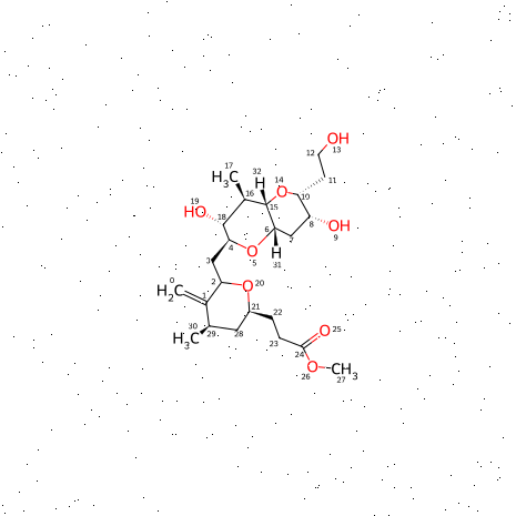 C=C1C(C[C@@H]2O[C@H]3C[C@@H](O)[C@@H](CCO)O[C@H]3[C@H](C)[C@H]2O)O[C@@H](CCC(=O)OC)C[C@H]1C